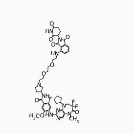 COc1cc(C(=O)NC2CCN(CCOCCOCCNc3cccc4c3C(=O)N(C3CCC(=O)NC3=O)C4=O)C2)c(F)cc1Nc1ncc2c(n1)N(C1CCCC1)CC(F)(F)C(=O)N2C